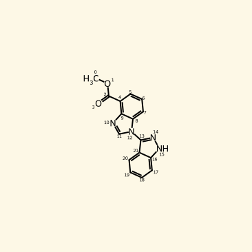 COC(=O)c1cccc2c1ncn2-c1n[nH]c2ccccc12